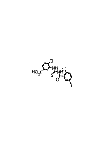 O=C(O)c1ccc(Cl)c(NC(=S)NC(=O)c2cc(I)ccc2Cl)c1